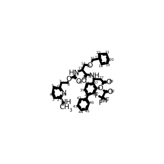 CNc1cccc(CCOC(=O)NC(COCc2ccccc2)C(=O)NC(CC(=O)OC(=O)C(F)(F)F)c2ccc(-c3ccccc3)cc2)n1